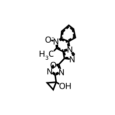 Cc1c2c(-c3nc(C4(O)CC4)no3)ncn2c2ccccc2[n+]1[O-]